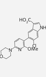 COc1nc(N2CCOCC2)ccc1-c1cc2c(C(=O)O)c[nH]c2cc1Cl